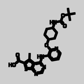 Cc1c(C(=O)O)sc2ncnc(Nc3cccnc3OC3CCC(NC(=O)OC(C)(C)C)CC3)c12